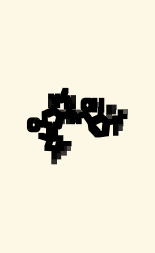 Cc1nc(N[C@H](O)c2cccc(C(F)(F)F)c2C)c2cn(C3(C)CC(F)(F)C3)c(=O)cc2n1